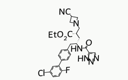 CCOC(=O)[C@@H](C[C@@H](Cc1ccc(-c2cc(Cl)ccc2F)cc1)NC(=O)c1cnn[nH]1)CN1CC(C#N)C1